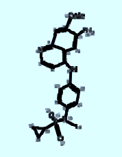 COc1cc2nccc(Nc3ccc(N(I)S(=O)(=O)C4CC4)cc3)c2cc1P